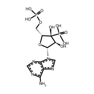 Nc1ncnc2c1ncn2[C@@H]1O[C@H](COP(=O)(O)O)[C@](O)(P(=O)(O)O)[C@H]1O